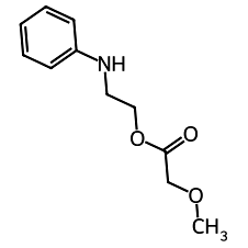 COCC(=O)OCCNc1ccccc1